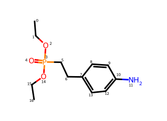 CCOP(=O)(CCc1ccc(N)cc1)OCC